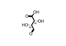 O=C[C@H](O)[C@@H](O)C(=O)O